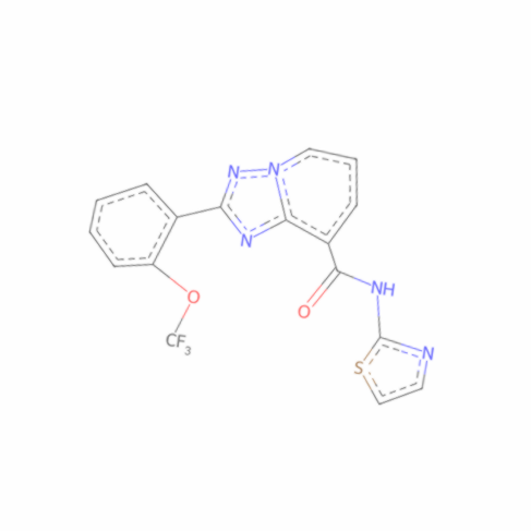 O=C(Nc1nccs1)c1cccn2nc(-c3ccccc3OC(F)(F)F)nc12